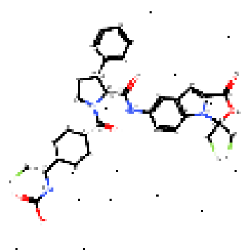 O=C(O)N[C@H](CF)[C@H]1CC[C@H](C(=O)N2CC[C@@H](c3ccccc3)[C@H]2C(=O)Nc2ccc3c(c2)cc2n3C(CF)(CF)OC2=O)CC1